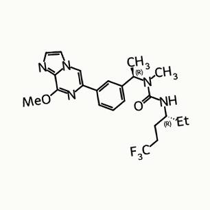 CC[C@H](CCC(F)(F)F)NC(=O)N(C)[C@H](C)c1cccc(-c2cn3ccnc3c(OC)n2)c1